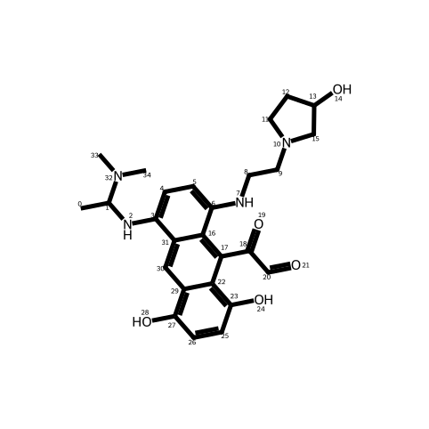 CC(Nc1ccc(NCCN2CCC(O)C2)c2c(C(=O)C=O)c3c(O)ccc(O)c3cc12)N(C)C